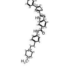 CN1CCN(CCc2ccc(NC(=O)c3ccc4nc(-c5nc(-c6ccccc6)cs5)[nH]c4c3)cc2)CC1